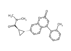 Cc1ccccc1-c1cc(=O)oc2cc([C@@H]3C[C@H]3C(=O)N(C)C)ccc12